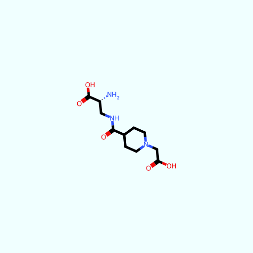 N[C@H](CNC(=O)C1CCN(CC(=O)O)CC1)C(=O)O